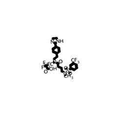 CN(CCc1ccc(C2=NCCN2)cc1)C(=O)CCCN(C)S(=O)(=O)c1cccc(C(F)(F)F)c1.O=C(O)C(F)(F)F